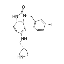 O=c1[nH]c2ccc(NC[C@@H]3CCNC3)nc2n1Cc1cccc(I)c1